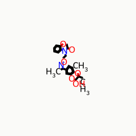 CCC(Oc1ccc(C(C)=NOCCN2C(=O)COc3ccccc32)cc1C)C(=O)O